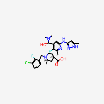 Cc1cc(Nc2cc(C(O)N(C)C)c(F)c(C[C@@]3(C(=O)O)CCN(Cc4cccc(Cl)c4F)[C@H](C)C3)n2)n[nH]1